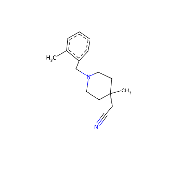 Cc1ccccc1CN1CCC(C)(CC#N)CC1